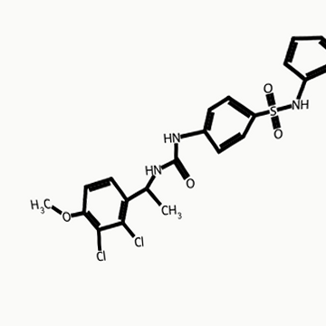 COc1ccc(C(C)NC(=O)Nc2ccc(S(=O)(=O)Nc3ccccc3)cc2)c(Cl)c1Cl